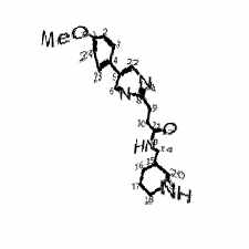 COc1ccc(-c2cnc(CCC(=O)NCC3CCCNC3)nc2)cc1